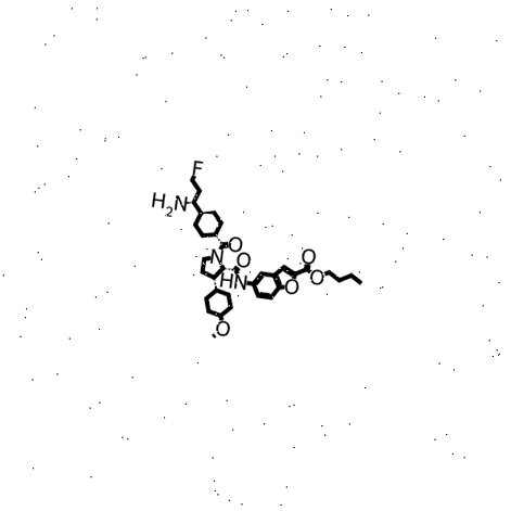 CCCCOC(=O)c1cc2cc(NC(=O)[C@@H]3[C@H](C4CCC(OC)CC4)CCN3C(=O)[C@H]3CC[C@H]([C@H](N)CCF)CC3)ccc2o1